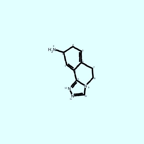 NC1C=C2C(=CC1)CCn1cnnc12